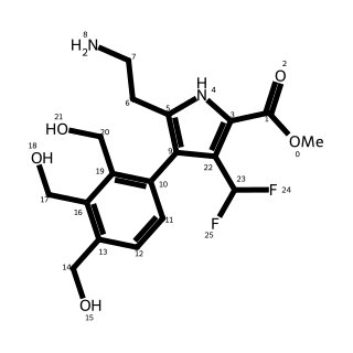 COC(=O)c1[nH]c(CCN)c(-c2ccc(CO)c(CO)c2CO)c1C(F)F